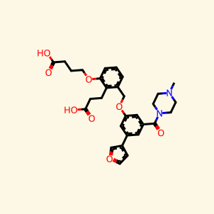 CN1CCN(C(=O)c2cc(OCc3cccc(OCCCC(=O)O)c3CCC(=O)O)cc(-c3ccoc3)c2)CC1